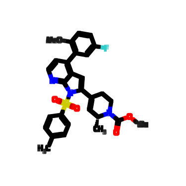 COc1ccc(F)cc1-c1ccnc2c1cc(C1=C[C@@H](C)N(C(=O)OC(C)(C)C)CC1)n2S(=O)(=O)c1ccc(C)cc1